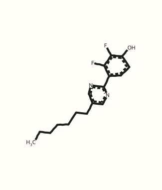 CCCCCCCc1cnc(-c2ccc(O)c(F)c2F)nc1